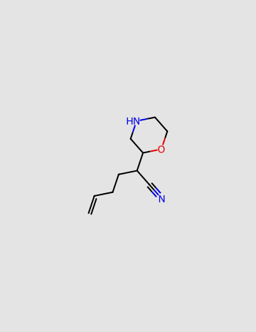 C=CCCC(C#N)C1CNCCO1